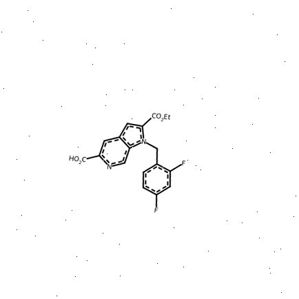 CCOC(=O)c1cc2cc(C(=O)O)ncc2n1Cc1ccc(F)cc1F